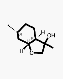 C[C@@H]1CC[C@@H]2[C@@H](C1)OCC2(C)O